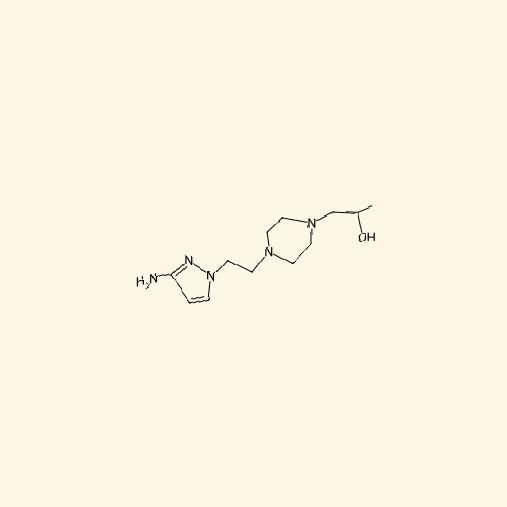 CC(O)CN1CCN(CCn2ccc(N)n2)CC1